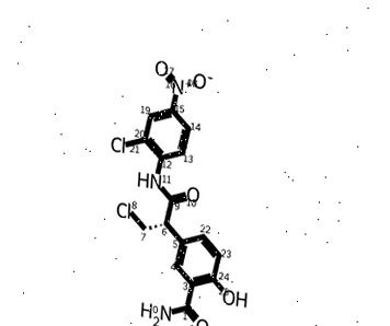 NC(=O)c1cc([C@H](CCl)C(=O)Nc2ccc([N+](=O)[O-])cc2Cl)ccc1O